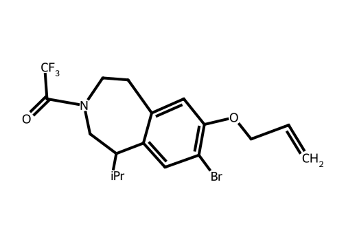 C=CCOc1cc2c(cc1Br)C(C(C)C)CN(C(=O)C(F)(F)F)CC2